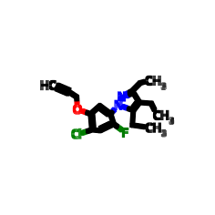 C#CCOc1cc(-n2nc(CC)c(CC)c2CC)c(F)cc1Cl